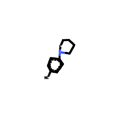 N#Cc1c[c]c(N2CCCCC2)cc1